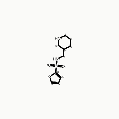 O=S(=O)(NCC1CCCNC1)c1cccs1